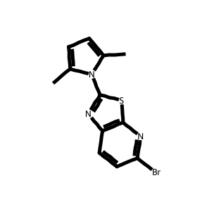 Cc1ccc(C)n1-c1nc2ccc(Br)nc2s1